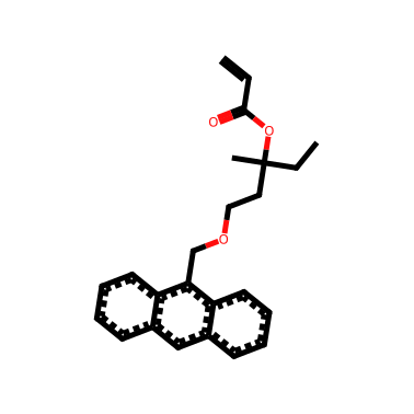 C=CC(=O)OC(C)(CC)CCOCc1c2ccccc2cc2ccccc12